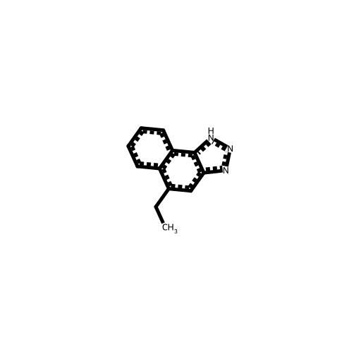 CCc1cc2nn[nH]c2c2ccccc12